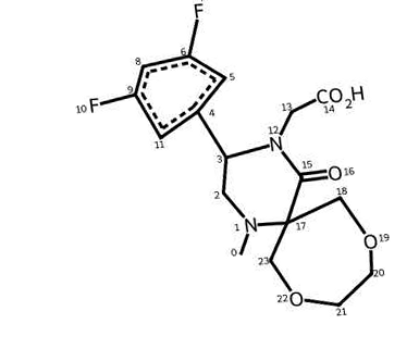 CN1CC(c2cc(F)cc(F)c2)N(CC(=O)O)C(=O)C12COCCOC2